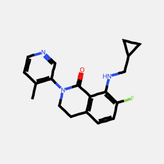 Cc1ccncc1N1CCc2ccc(F)c(NCC3CC3)c2C1=O